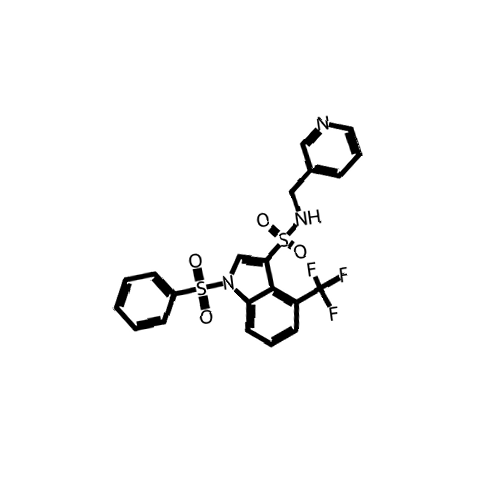 O=S(=O)(NCc1cccnc1)c1cn(S(=O)(=O)c2ccccc2)c2cccc(C(F)(F)F)c12